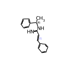 C[C@@H](NC(=N)/C=C/c1ccccc1)c1ccccc1